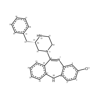 Clc1ccc2c(c1)N=C(N1CCN[C@@H](Cc3ccccc3)C1)c1ccccc1N2